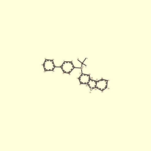 CC(C)(C)N(c1ccc(-c2ccccc2)cc1)c1ccc2oc3ccccc3c2c1